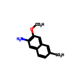 Nc1cc2ccc(S(=O)(=O)O)cc2cc1OC(=O)O